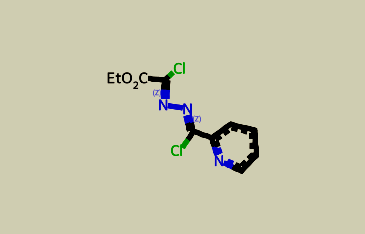 CCOC(=O)/C(Cl)=N/N=C(\Cl)c1ccccn1